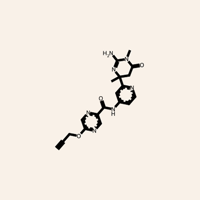 C#CCOc1cnc(C(=O)Nc2ccnc(C3(C)CC(=O)N(C)C(N)=N3)c2)cn1